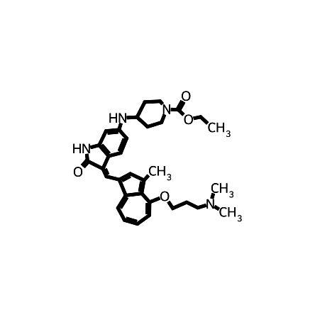 CCOC(=O)N1CCC(Nc2ccc3c(c2)NC(=O)/C3=C/c2cc(C)c3c(OCCCN(C)C)ccccc2-3)CC1